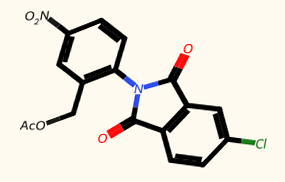 CC(=O)OCc1cc([N+](=O)[O-])ccc1N1C(=O)c2ccc(Cl)cc2C1=O